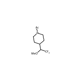 COC(C1CCN(C(C)=O)CC1)C(F)(F)F